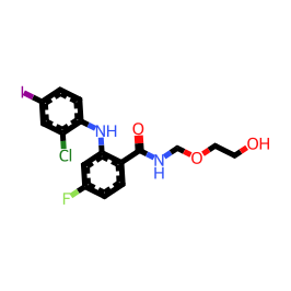 O=C(NCOCCO)c1ccc(F)cc1Nc1ccc(I)cc1Cl